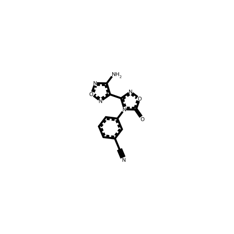 N#Cc1cccc(-n2c(-c3nonc3N)noc2=O)c1